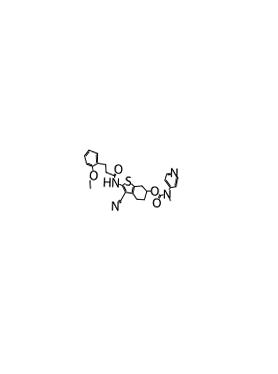 CCOc1ccccc1CCC(=O)Nc1sc2c(c1C#N)CCC(OC(=O)N(C)c1ccncc1)C2